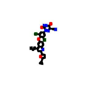 Cc1cc(-c2ccc(C3CC3)o2)nc2ccc(Oc3c(Cl)cc(-n4nc(C#N)c(=O)[nH]c4=O)cc3Cl)cc12